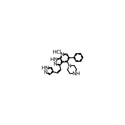 C(=C/c1n[nH]c2ncc(-c3ccccc3)c(N3CCNCC3)c12)/c1cn[nH]c1.Cl